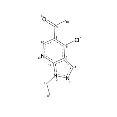 CCn1ncc2c(Cl)c(C(C)=O)cnc21